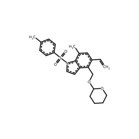 C=Cc1cc(C)c2c(ccn2S(=O)(=O)c2ccc(C)cc2)c1COC1CCCCO1